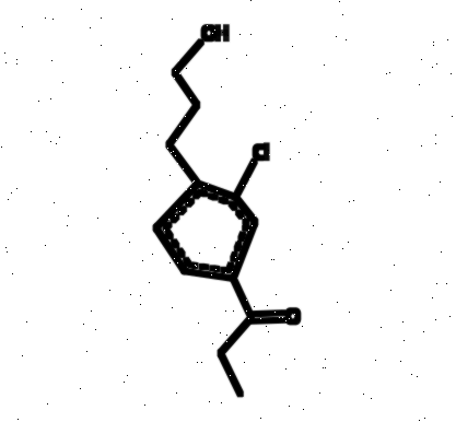 CCC(=O)c1ccc(CCCO)c(Cl)c1